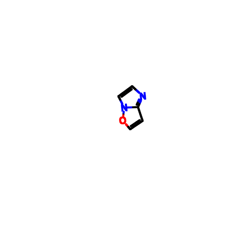 c1cn2occc2n1